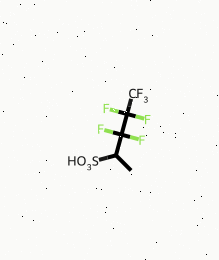 CC(C(F)(F)C(F)(F)C(F)(F)F)S(=O)(=O)O